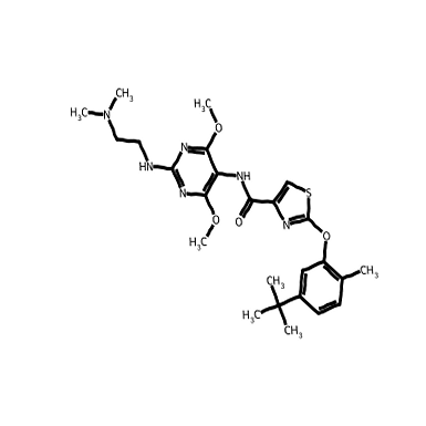 COc1nc(NCCN(C)C)nc(OC)c1NC(=O)c1csc(Oc2cc(C(C)(C)C)ccc2C)n1